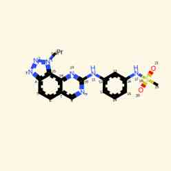 CC(C)n1nnc2ccc3cnc(Nc4cccc(NS(C)(=O)=O)c4)nc3c21